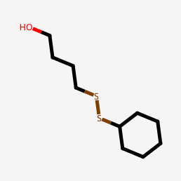 OCCCCSSC1CCCCC1